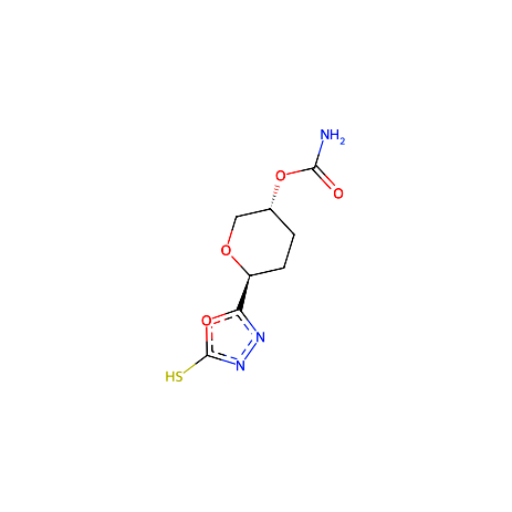 NC(=O)O[C@@H]1CC[C@@H](c2nnc(S)o2)OC1